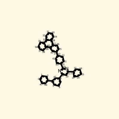 c1ccc(-c2cccc(-c3cc(-c4ccccc4)nc(-c4ccc(-c5ccc6c7ccccc7c7ccccc7c6c5)cc4)n3)c2)cc1